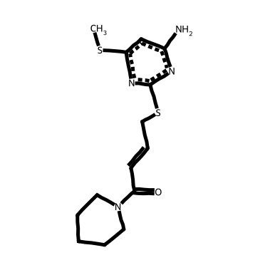 CSc1cc(N)nc(SCC=CC(=O)N2CCCCC2)n1